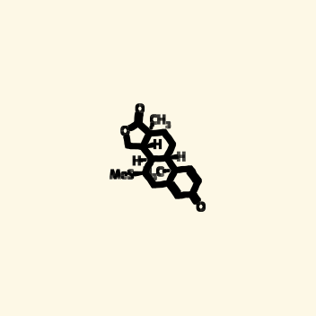 CS[C@@H]1CC2=CC(=O)C=C[C@]2(C)[C@H]2CC[C@]3(C)C(=O)OC[C@H]3[C@H]12